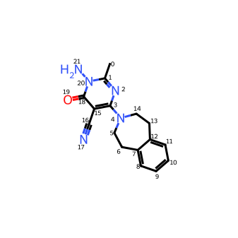 Cc1nc(N2CCc3ccccc3CC2)c(C#N)c(=O)n1N